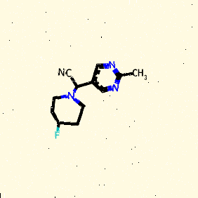 Cc1ncc(C(C#N)N2CCC(F)CC2)cn1